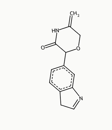 C=C1COC(c2ccc3c(c2)N=CC3)C(=O)N1